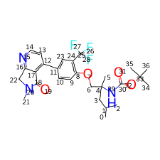 CC(C)CC(C)(COc1ccc(-c2ccnc3c2C(=O)N(C)C3)cc1C(F)(F)F)NC(=O)OC(C)(C)C